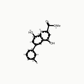 COC(=O)c1cc(O)c2cc(-c3cccc(C)c3)cc(O)c2n1